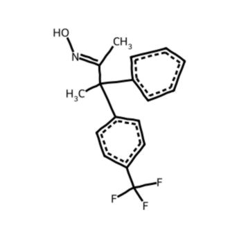 C/C(=N\O)C(C)(c1ccccc1)c1ccc(C(F)(F)F)cc1